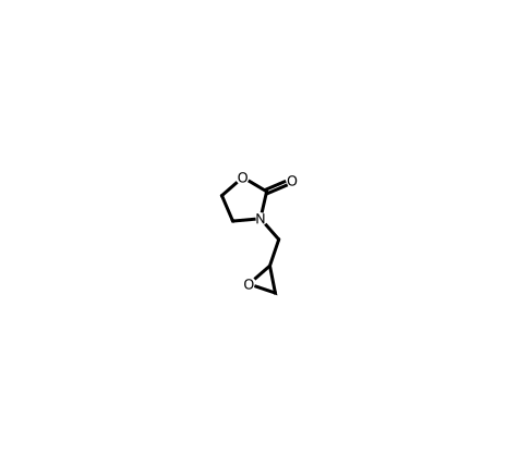 O=C1OCCN1CC1CO1